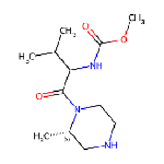 COC(=O)NC(C(=O)N1CCNC[C@@H]1C)C(C)C